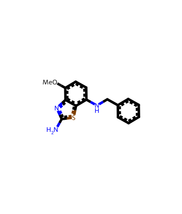 COc1ccc(NCc2ccccc2)c2sc(N)nc12